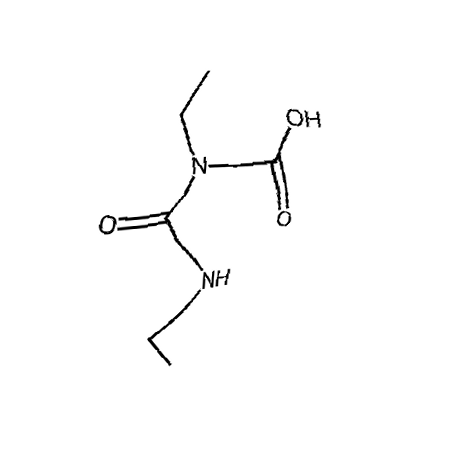 CCNC(=O)N(CC)C(=O)O